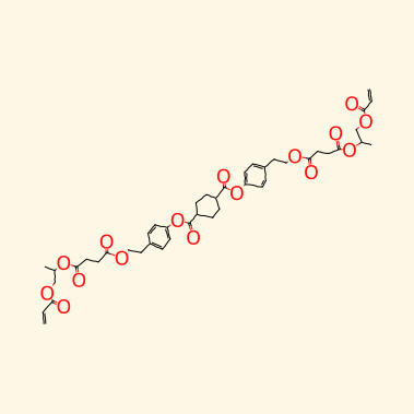 C=CC(=O)OCC(C)OC(=O)CCC(=O)OCCc1ccc(OC(=O)C2CCC(C(=O)Oc3ccc(CCOC(=O)CCC(=O)OC(C)COC(=O)C=C)cc3)CC2)cc1